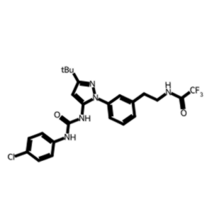 CC(C)(C)c1cc(NC(=O)Nc2ccc(Cl)cc2)n(-c2cccc(CCNC(=O)C(F)(F)F)c2)n1